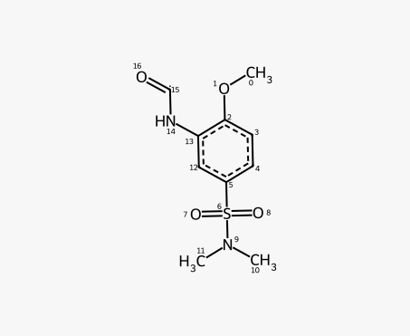 COc1ccc(S(=O)(=O)N(C)C)cc1N[C]=O